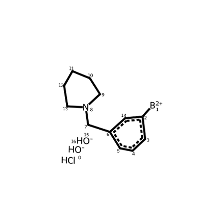 Cl.[B+2]c1cccc(CN2CCCCC2)c1.[OH-].[OH-]